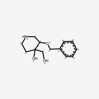 OCC1(O)CCNCC1OCc1ccccc1